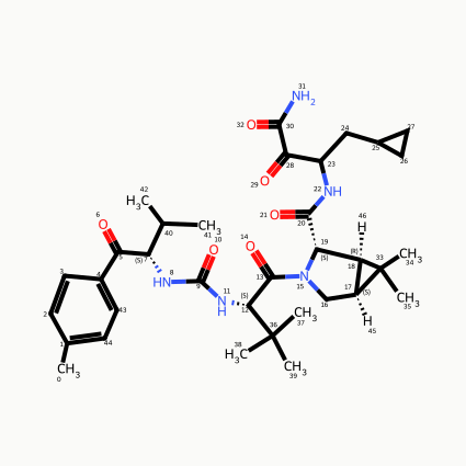 Cc1ccc(C(=O)[C@@H](NC(=O)N[C@H](C(=O)N2C[C@H]3[C@@H]([C@H]2C(=O)NC(CC2CC2)C(=O)C(N)=O)C3(C)C)C(C)(C)C)C(C)C)cc1